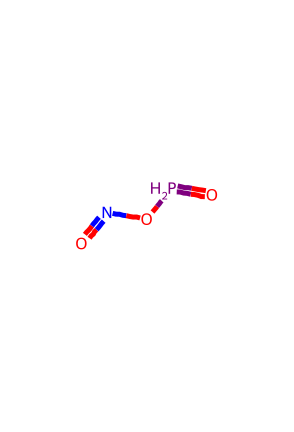 O=NO[PH2]=O